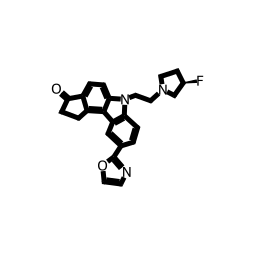 O=C1CCc2c1ccc1c2c2cc(-c3ncco3)ccc2n1CCN1CC[C@@H](F)C1